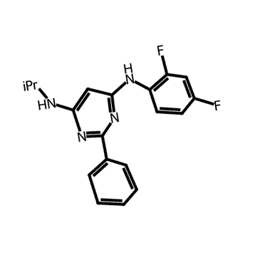 CC(C)Nc1cc(Nc2ccc(F)cc2F)nc(-c2ccccc2)n1